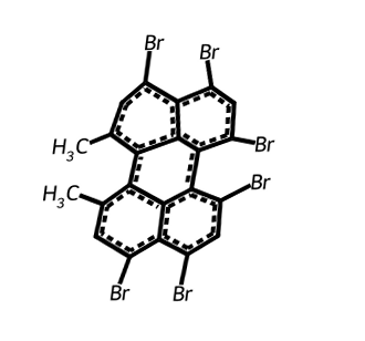 Cc1cc(Br)c2c(Br)cc(Br)c3c4c(Br)cc(Br)c5c(Br)cc(C)c(c1c23)c54